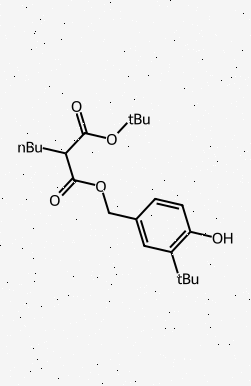 CCCCC(C(=O)OCc1ccc(O)c(C(C)(C)C)c1)C(=O)OC(C)(C)C